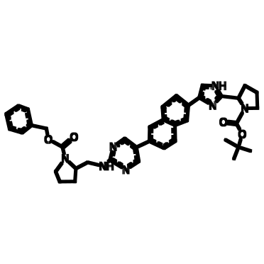 CC(C)(C)OC(=O)N1CCCC1c1nc(-c2ccc3cc(-c4cnc(NCC5CCCN5C(=O)OCc5ccccc5)nc4)ccc3c2)c[nH]1